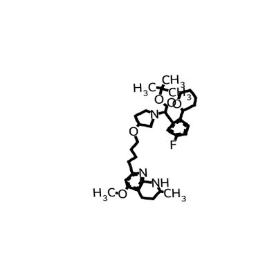 COc1cc(CCCCOC2CCN(C(C(=O)OC(C)(C)C)c3cc(F)ccc3C3CCCCO3)C2)nc2c1CCC(C)N2